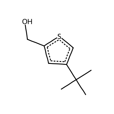 CC(C)(C)c1csc(CO)c1